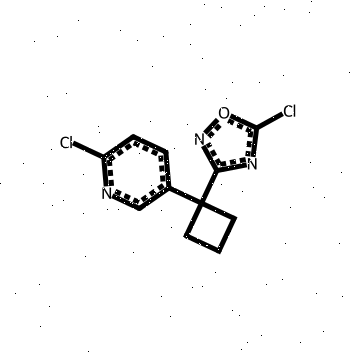 Clc1ccc(C2(c3noc(Cl)n3)CCC2)cn1